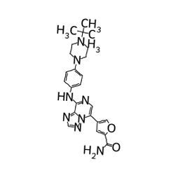 CC(C)(C)N1CCN(c2ccc(Nc3ncc(-c4coc(C(N)=O)c4)n4ncnc34)cc2)CC1